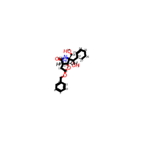 C[C@]12OC(OCc3ccccc3)C[C@H]1C(=O)N[C@]2(CO)[C@H](O)[C@@H]1C=CCCC1